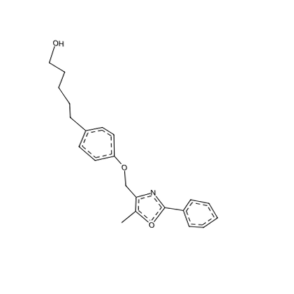 Cc1oc(-c2ccccc2)nc1COc1ccc(CCCCCO)cc1